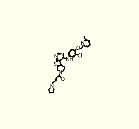 Cc1cccc(COc2ccc(Nc3ncnc4sc5c(c34)CCN(C(=O)C=CCN3CCCC3)C5)cc2Cl)n1